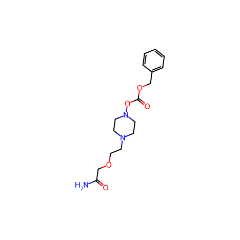 NC(=O)COCCN1CCN(OC(=O)OCc2ccccc2)CC1